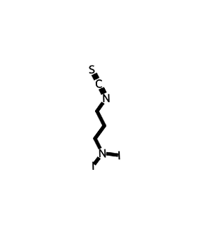 S=C=NCCCN(I)I